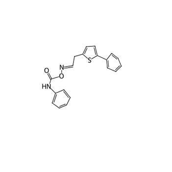 O=C(Nc1ccccc1)ON=CCc1ccc(-c2ccccc2)s1